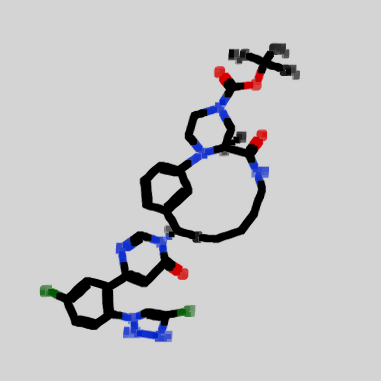 CC(C)(C)OC(=O)N1CCN2c3cccc(c3)[C@@H](n3cnc(-c4cc(Cl)ccc4N4C=C(Cl)NN4)cc3=O)CCCCCNC(=O)[C@@H]2C1